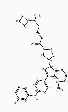 CN(CC=CC(=O)N1CCC(n2nc(-c3ccc(Oc4cccc(F)c4)cc3)c3c(N)ncnc32)C1)C1CCC1